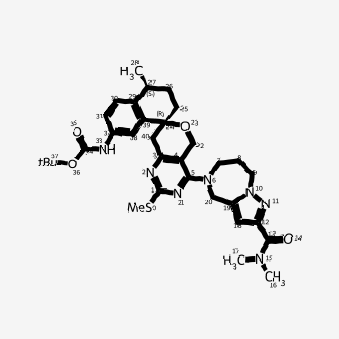 CSc1nc2c(c(N3CCCn4nc(C(=O)N(C)C)cc4C3)n1)CO[C@]1(CC[C@H](C)c3ccc(NC(=O)OC(C)(C)C)cc31)C2